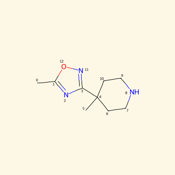 Cc1nc(C2(C)CCNCC2)no1